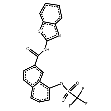 O=C(Nc1nc2ccccc2s1)c1ccc2cccc(OS(=O)(=O)C(F)(F)F)c2c1